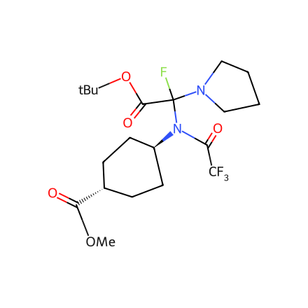 COC(=O)[C@H]1CC[C@H](N(C(=O)C(F)(F)F)C(F)(C(=O)OC(C)(C)C)N2CCCC2)CC1